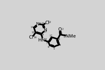 CNC(=O)c1cccc(Nc2nc(Cl)ncc2Cl)c1